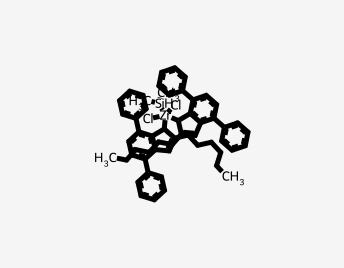 CCCCCCC1=Cc2c(-c3ccccc3)ccc(-c3ccccc3)c2[CH]1[Zr]([Cl])([Cl])([CH]1C(CCCCCC)=Cc2c(-c3ccccc3)ccc(-c3ccccc3)c21)[SiH](C)C